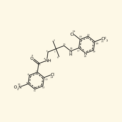 CC(C)(CNC(=O)c1cc([N+](=O)[O-])ccc1Cl)CNc1ncc(C(F)(F)F)cc1Cl